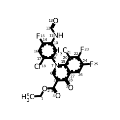 CCOC(=O)c1cn(-c2cc(NC=O)c(F)cc2Cl)c2c(C)c(F)c(F)cc2c1=O